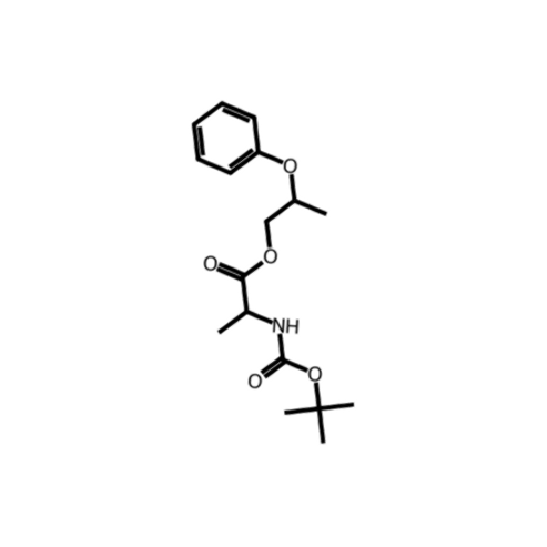 CC(COC(=O)C(C)NC(=O)OC(C)(C)C)Oc1ccccc1